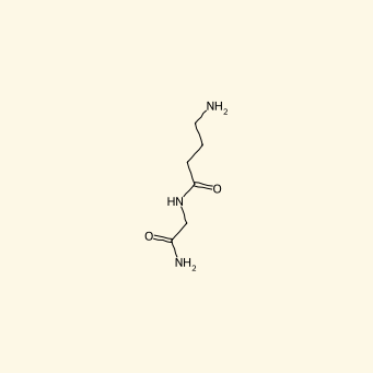 NCCCC(=O)NCC(N)=O